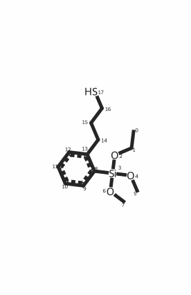 CCO[Si](OC)(OC)c1ccccc1CCCS